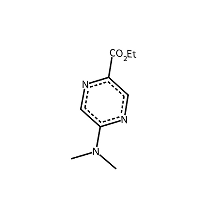 CCOC(=O)c1cnc(N(C)C)cn1